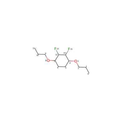 CCCOC1CCC(OCCC)C(F)C1F